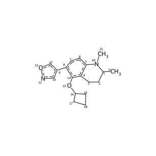 CC1CCc2c(ccc(-c3cnoc3)c2OC2CCC2)N1C